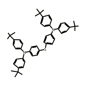 CC(C)(C)c1ccc(N(c2ccc(Sc3ccc(N(c4ccc(C(C)(C)C)cc4)c4ccc(C(C)(C)C)cc4)cc3)cc2)c2ccc(C(C)(C)C)cc2)cc1